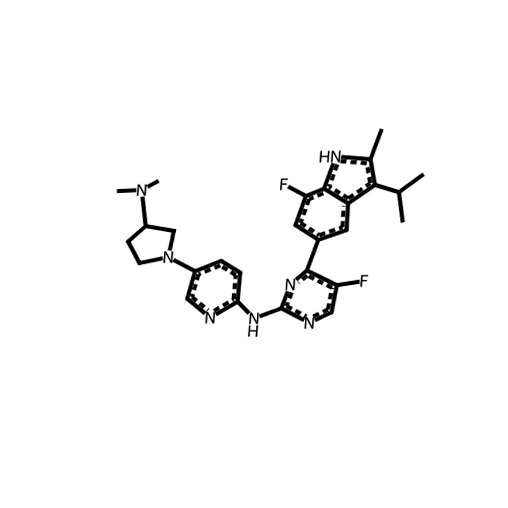 Cc1[nH]c2c(F)cc(-c3nc(Nc4ccc(N5CCC(N(C)C)C5)cn4)ncc3F)cc2c1C(C)C